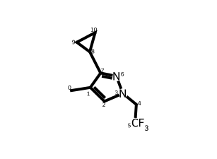 Cc1cn(CC(F)(F)F)nc1C1CC1